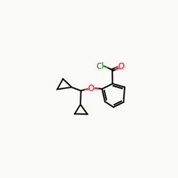 O=C(Cl)c1ccccc1OC(C1CC1)C1CC1